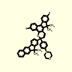 CC1(C)c2cc(C3(c4ccc(N5CCOCC5)cc4)C=Cc4c5c(c6ccc(F)cc6c4O3)-c3ccc(F)cc3C5(C)C)ccc2-c2cc3ccccc3cc21